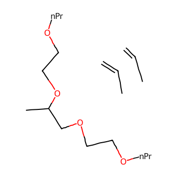 C=CC.C=CC.CCCOCCOCC(C)OCCOCCC